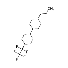 CCC[C@H]1CC[C@H]([C@H]2CC[C@H](C(F)(F)C(F)(F)F)CC2)CC1